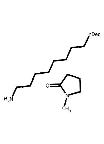 CCCCCCCCCCCCCCCCCCN.CN1CCCC1=O